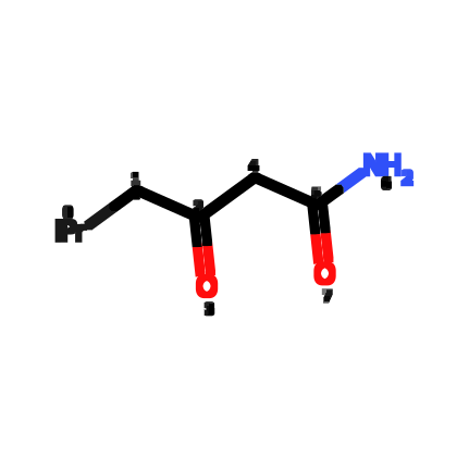 CC(C)[CH]C(=O)CC(N)=O